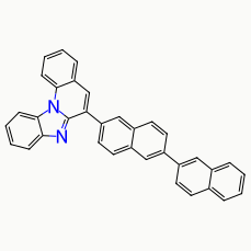 c1ccc2cc(-c3ccc4cc(-c5cc6ccccc6n6c5nc5ccccc56)ccc4c3)ccc2c1